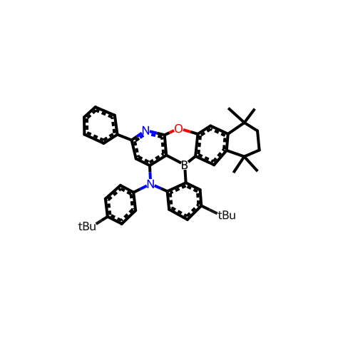 CC(C)(C)c1ccc(N2c3ccc(C(C)(C)C)cc3B3c4cc5c(cc4Oc4nc(-c6ccccc6)cc2c43)C(C)(C)CCC5(C)C)cc1